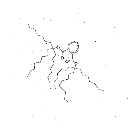 CCCCCCCCC(CCCCCCC)(CCCCCCC)OC(=O)c1ccccc1C(=O)OC(CCCCCCC)(CCCCCCC)CCCCCCCC